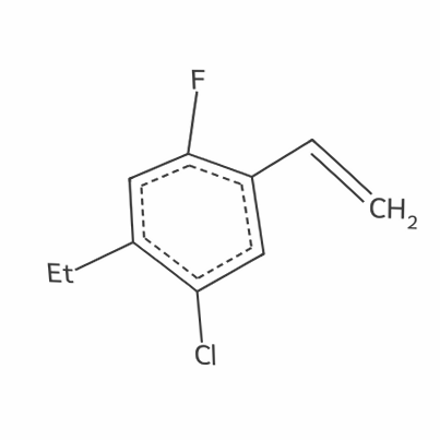 C=Cc1cc(Cl)c(CC)cc1F